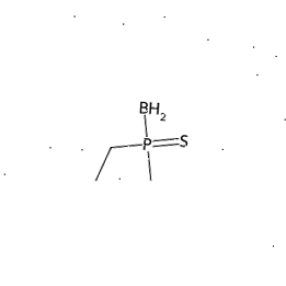 BP(C)(=S)CC